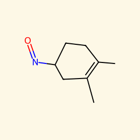 CC1=C(C)CC(N=O)CC1